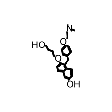 CN(C)CCOc1ccc(Cc2c(OCCCCO)ccc3cc(O)ccc23)cc1